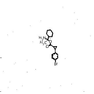 C[C@@](N)(OC(=O)C1CC1c1ccc(Br)cc1)C1CCCCC1